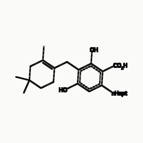 CCCCCCCc1cc(O)c(CC2=C(C)CC(C)(C)CC2)c(O)c1C(=O)O